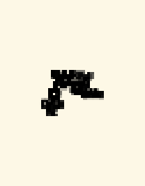 CCC(=O)Nc1ccc(CN2N=C(c3ccc(OC)c(OC(F)F)c3)C(CC)SC2=O)cc1